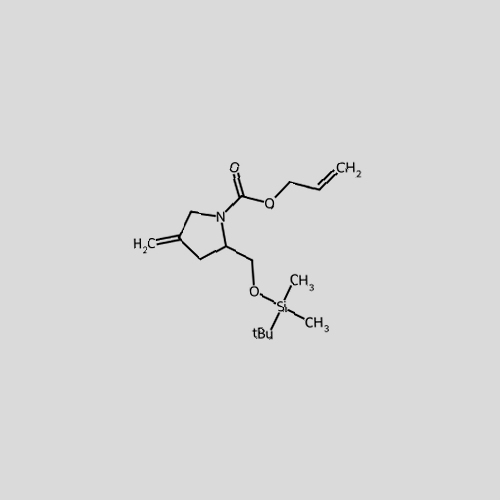 C=CCOC(=O)N1CC(=C)CC1CO[Si](C)(C)C(C)(C)C